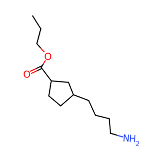 CCCOC(=O)C1CCC(CCCCN)C1